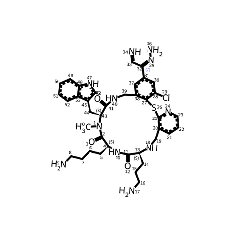 CN1C(=O)[C@H](CCCCN)NC(=O)[C@H](CCCN)NCc2cccnc2Sc2c(Cl)cc(/C(C=N)=N/N)cc2CNC(=O)[C@@H]1Cc1c[nH]c2ccccc12